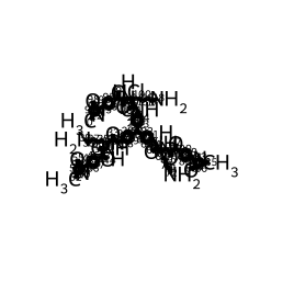 CC1=NN(c2ccc(C(=O)C(=O)N[C@H](CCCCN)C(=O)Nc3ccc(C(c4ccc(NC(=O)[C@@H](CCCCN)NC(=O)C(=O)c5ccc(N6N=C(C)CC6=O)cc5)cc4)c4ccc(NC(=O)[C@@H](CCCCN)NC(=O)C(=O)c5ccc(N6N=C(C)CC6=O)cc5)cc4)cc3)cc2)C(=O)C1.Cl